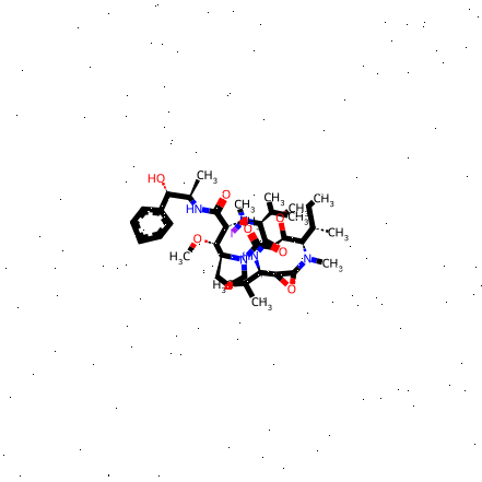 CC[C@H](C)[C@@H]([C@@H](CC(=O)N1CCC[C@H]1[C@H](OC)[C@@H](C)C(=O)N[C@H](C)[C@@H](O)c1ccccc1)OC)N(C)C1OC1[C@H](NC(=O)[C@H](C(C)C)N(C)I)C(C)C